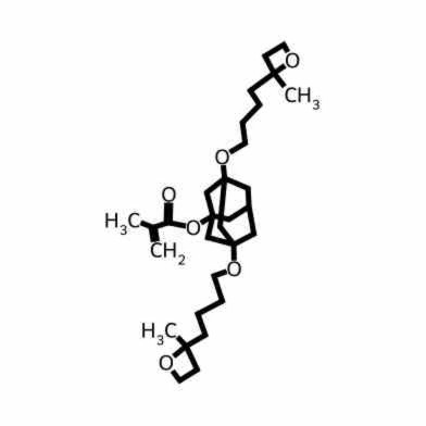 C=C(C)C(=O)OC12CC3CC(OCCCCC4(C)CCO4)(CC(OCCCCC4(C)CCO4)(C3)C1)C2